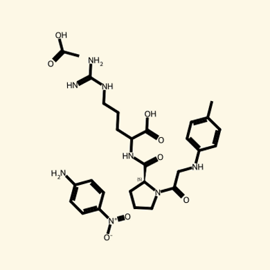 CC(=O)O.Cc1ccc(NCC(=O)N2CCC[C@H]2C(=O)NC(CCCNC(=N)N)C(=O)O)cc1.Nc1ccc([N+](=O)[O-])cc1